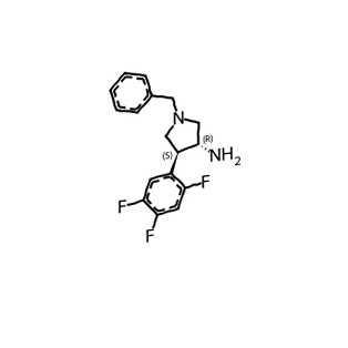 N[C@H]1CN(Cc2ccccc2)C[C@@H]1c1cc(F)c(F)cc1F